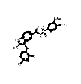 COc1ccc(S(=O)(=O)NC(=O)c2ccc3[nH]c(C)c(Cc4ccc(Cl)cc4Cl)c3c2)cc1OC